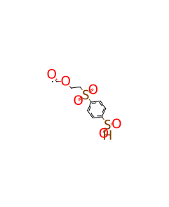 O=[C]OCCS(=O)(=O)c1ccc([SH](=O)=O)cc1